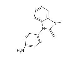 C=C1N(C)c2ccccc2N1c1ccc(N)cn1